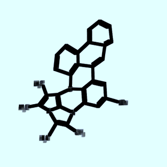 Cc1c2c3n(c(C)c(C)n3c1C)-c1cc(C(C)(C)C)cc3c1B2c1cccc2c1c-3cc1ccccc12